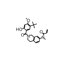 C=CC(=O)N(C)c1ccc2c(c1)CN(C(=O)c1cc(C(C)(C)C)c(OC)cc1O)CC2